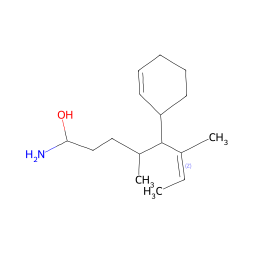 C/C=C(/C)C(C(C)CCC(N)O)C1C=CCCC1